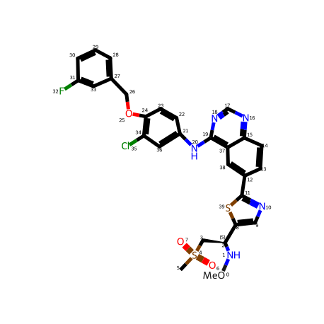 CON[C@@H](CS(C)(=O)=O)c1cnc(-c2ccc3ncnc(Nc4ccc(OCc5cccc(F)c5)c(Cl)c4)c3c2)s1